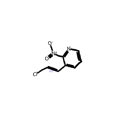 O=[N+]([O-])c1ncccc1/C=C/Cl